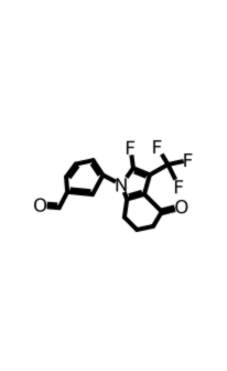 O=Cc1cccc(-n2c(F)c(C(F)(F)F)c3c2CCCC3=O)c1